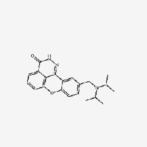 CC(C)N(Cc1ccc2c(c1)-c1n[nH]c(=O)c3cccc(c13)O2)C(C)C